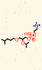 CC(C)CCCOCC(COP(=O)(O)OCC[N+](C)(C)C)OC(C)C